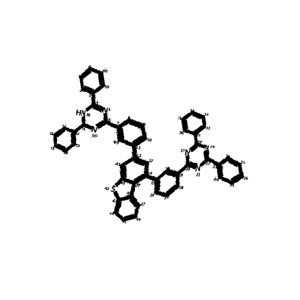 c1ccc(C2=NC(c3cccc(-c4cc(-c5cccc(-c6nc(-c7ccccc7)nc(-c7ccccc7)n6)c5)c5c(c4)sc4ccccc45)c3)=NC(c3ccccc3)N2)cc1